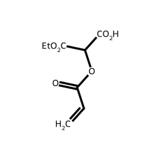 C=CC(=O)OC(C(=O)O)C(=O)OCC